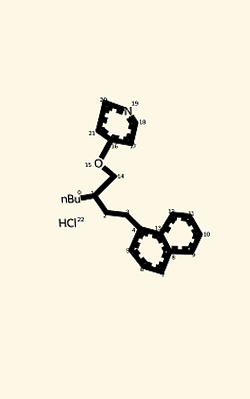 CCCCC(CCc1cccc2ccccc12)COc1ccncc1.Cl